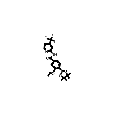 CCOc1cc(C(=O)Nc2cc(C(F)(F)F)ccn2)ccc1B1OC(C)(C)C(C)(C)O1